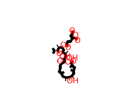 CO[C@H]1/C=C/C=C(\C)C[C@H](C)[C@H](O)[C@H](C)/C=C(C)/C=C(\C)C(=O)O[C@@H]1[C@@H](C)[C@@H](O)[C@H](C)[C@@]1(O)C[C@@H](OC(=O)/C=C/C2=CC(=O)OC2=O)[C@H](C)[C@@H](C(C)C)O1